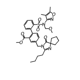 CCCCC1=NC2(CCCC2)C(=O)N1Cc1ccc(-c2ccccc2S(=O)(=O)N(COC)c2noc(C)c2C)c(C(=O)OC)c1